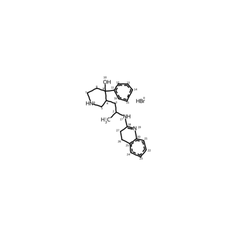 Br.CC(CC1CNCCC1(O)c1ccccc1)NC1=Nc2ccccc2CC1